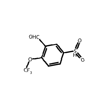 O=Cc1cc([SH](=O)=O)ccc1OC(F)(F)F